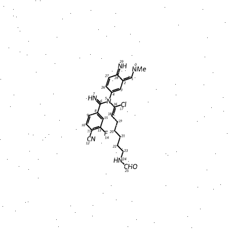 CN/C=C1/C=C(N(C(=N)c2ccc(C#N)c(F)c2)/C(Cl)=C/CCCCCNC=O)C=CC1=N